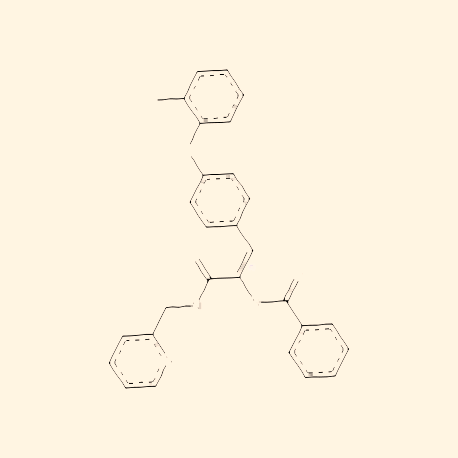 O=C(NCc1ccccn1)/C(=C\c1ccc(Oc2ccccc2Br)cc1)NC(=O)c1ccccc1